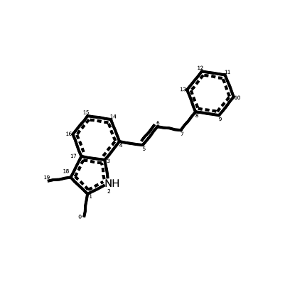 Cc1[nH]c2c(C=CCc3ccccc3)cccc2c1C